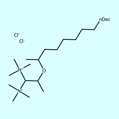 CCCCCCCCCCCCCCCCC(C)OC(C)C([N+](C)(C)C)[N+](C)(C)C.[Cl-].[Cl-]